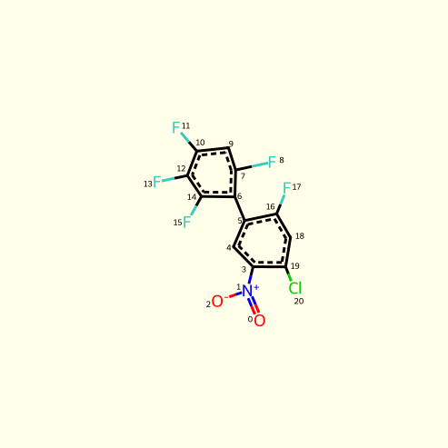 O=[N+]([O-])c1cc(-c2c(F)cc(F)c(F)c2F)c(F)cc1Cl